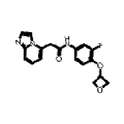 O=C(Cc1cccc2nccn12)Nc1ccc(OC2COC2)c(F)c1